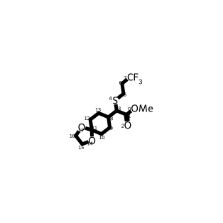 COC(=O)C(SCCC(F)(F)F)C1CCC2(CC1)OCCO2